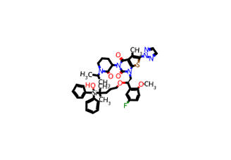 COc1ccc(F)cc1[C@H](Cn1c(=O)n(C2CCCN(C(C)C)C2=O)c(=O)c2c(C)c(-n3nccn3)sc21)OCCCC(C)(C)[Si](O)(c1ccccc1)c1ccccc1